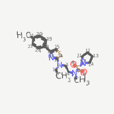 CCN(CCN(C)S(=O)(=O)N1CCCC1)c1nc(-c2ccc(C)cc2)cs1